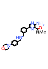 CNC(=O)c1nc(-c2cccc(CNCc3ccc(N4CCOCC4)cc3)c2)cnc1N